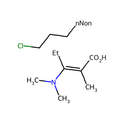 CC/C(=C(/C)C(=O)O)N(C)C.CCCCCCCCCCCCCl